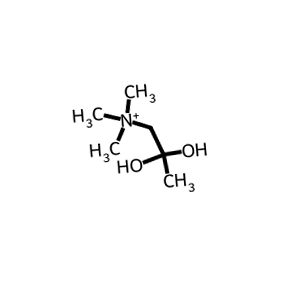 CC(O)(O)C[N+](C)(C)C